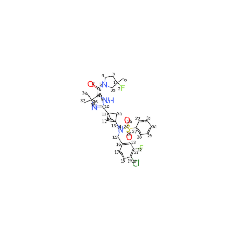 CC1(F)CCN(C(=O)[C@@H]2NC(C34CC(N(Cc5ccc(Cl)c(F)c5)S(=O)(=O)c5ccccc5)(C3)C4)=NC2(C)C)C1